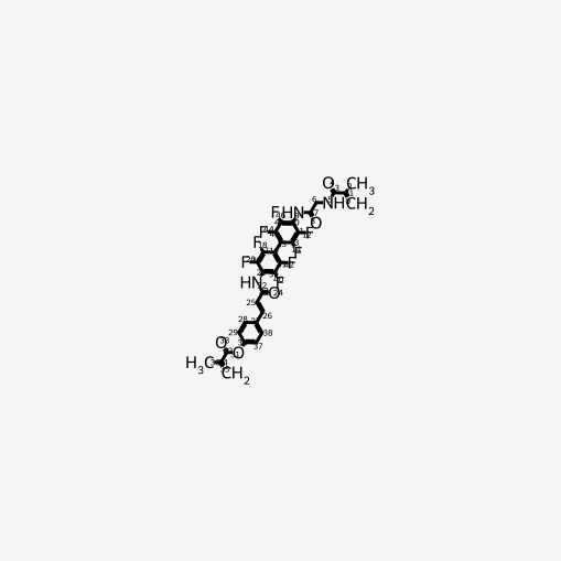 C=C(C)C(=O)NCC(=O)Nc1c(F)c(F)c(-c2c(F)c(F)c(NC(=O)/C=C/c3ccc(OC(=O)C(=C)C)cc3)c(F)c2F)c(F)c1F